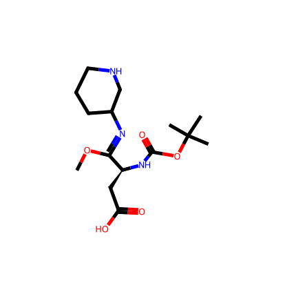 COC(=NC1CCCNC1)[C@H](CC(=O)O)NC(=O)OC(C)(C)C